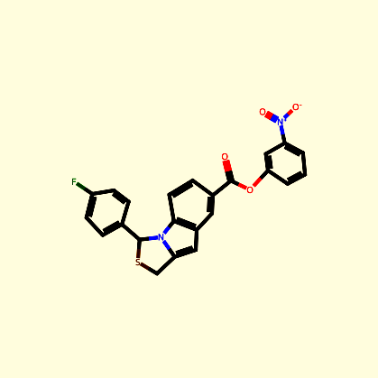 O=C(Oc1cccc([N+](=O)[O-])c1)c1ccc2c(c1)cc1n2C(c2ccc(F)cc2)SC1